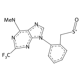 CNc1nc(C(F)(F)F)nc2c1ncn2-c1ccccc1C[S+]=O